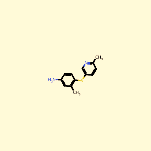 Cc1ccc(Sc2ccc(N)cc2C)cn1